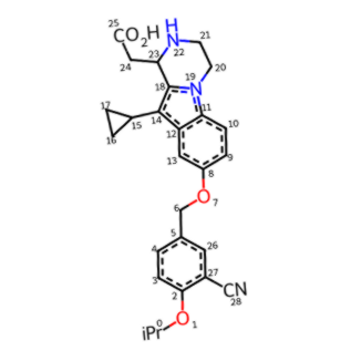 CC(C)Oc1ccc(COc2ccc3c(c2)c(C2CC2)c2n3CCNC2CC(=O)O)cc1C#N